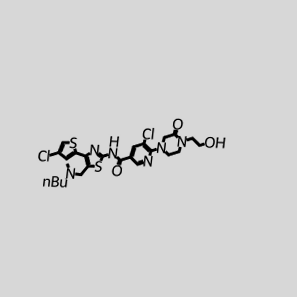 CCCCN(C)Cc1sc(NC(=O)c2cnc(N3CCN(CCO)C(=O)C3)c(Cl)c2)nc1-c1cc(Cl)cs1